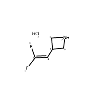 Cl.FC(F)=CC1CNC1